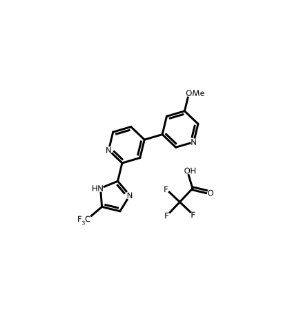 COc1cncc(-c2ccnc(-c3ncc(C(F)(F)F)[nH]3)c2)c1.O=C(O)C(F)(F)F